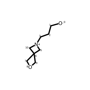 [O]CCCN1CC2(COC2)C1